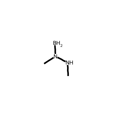 BN(C)NC